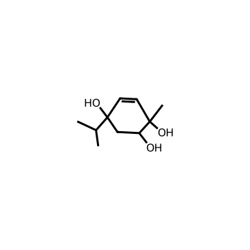 CC(C)C1(O)C=CC(C)(O)C(O)C1